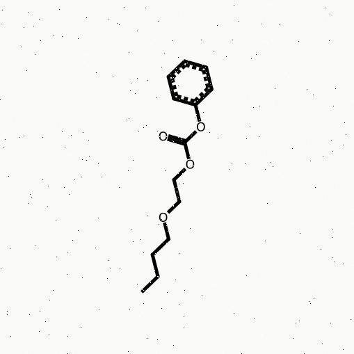 CCCCOCCOC(=O)Oc1ccccc1